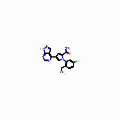 CCc1ccc(Cl)cc1-n1cc(-c2ncnc3[nH]ncc23)cc1C(N)=O